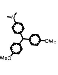 COc1ccc(C(c2ccc(OC)cc2)c2ccc(N(C)C)cc2)cc1